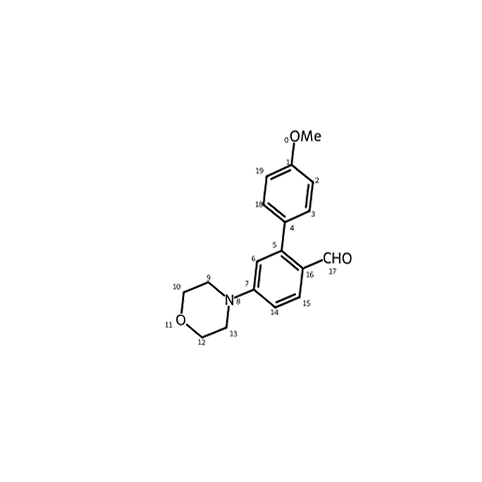 COc1ccc(-c2cc(N3CCOCC3)ccc2C=O)cc1